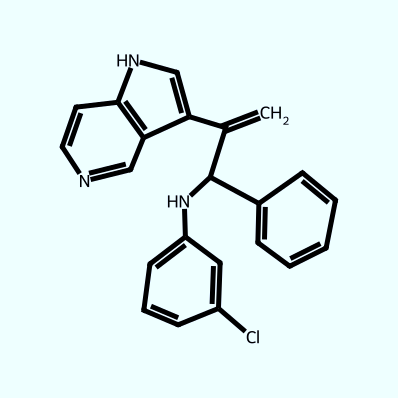 C=C(c1c[nH]c2ccncc12)C(Nc1cccc(Cl)c1)c1ccccc1